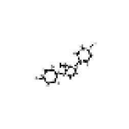 Cc1ccc(-c2[c]cc(-c3ccc(C)cc3)[nH]2)cc1